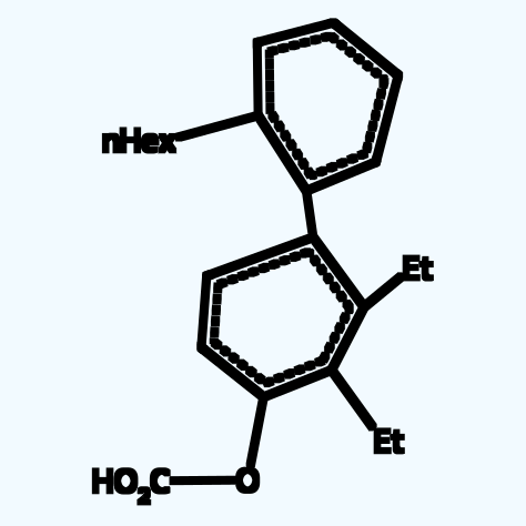 CCCCCCc1ccccc1-c1ccc(OC(=O)O)c(CC)c1CC